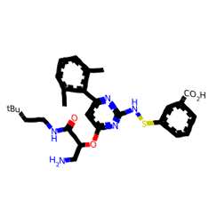 Cc1cccc(C)c1-c1cc(OC(CN)C(=O)NCCC(C)(C)C)nc(NSc2cccc(C(=O)O)c2)n1